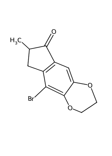 CC1Cc2c(cc3c(c2Br)OCCO3)C1=O